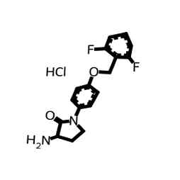 Cl.NC1CCN(c2ccc(OCc3c(F)cccc3F)cc2)C1=O